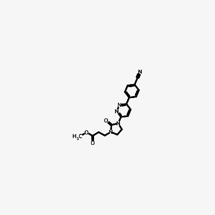 COC(=O)CCN1CCN(c2ccc(-c3ccc(C#N)cc3)nn2)C1=O